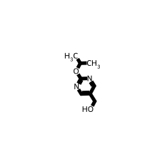 CC(C)Oc1ncc(CO)cn1